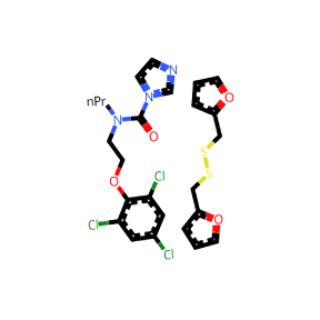 CCCN(CCOc1c(Cl)cc(Cl)cc1Cl)C(=O)n1ccnc1.c1coc(CSSCc2ccco2)c1